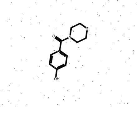 O=C(c1ccc(O)cc1)N1CCSCC1